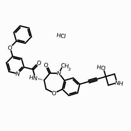 CN1C(=O)[C@@H](NC(=O)c2cc(Oc3ccccc3)ccn2)COc2ccc(C#CC3(O)CNC3)cc21.Cl